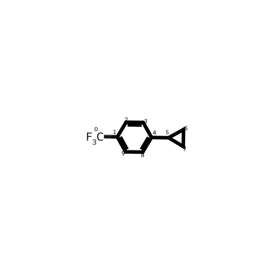 FC(F)(F)c1ccc(C2CC2)cc1